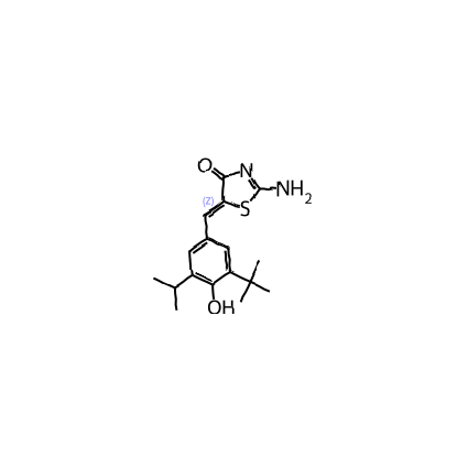 CC(C)c1cc(/C=C2\SC(N)=NC2=O)cc(C(C)(C)C)c1O